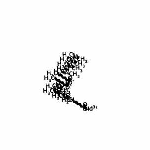 CC(=O)CC(C)=O.CC(=O)CC(C)=O.CC(=O)CC(C)=O.CCCCCCCC(=O)[O-].CCCCCCCC(=O)[O-].CCCCCCCC(=O)[O-].C[CH2][Al]([CH2]C)[CH2]C.C[CH2][Al]([Cl])[CH2]C.C[CH2][Al]([Cl])[CH2]C.C[CH2][Al]([Cl])[CH2]C.[Nd+3]